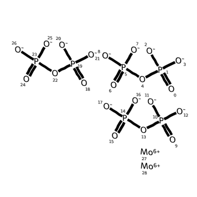 O=P([O-])([O-])OP(=O)([O-])[O-].O=P([O-])([O-])OP(=O)([O-])[O-].O=P([O-])([O-])OP(=O)([O-])[O-].[Mo+6].[Mo+6]